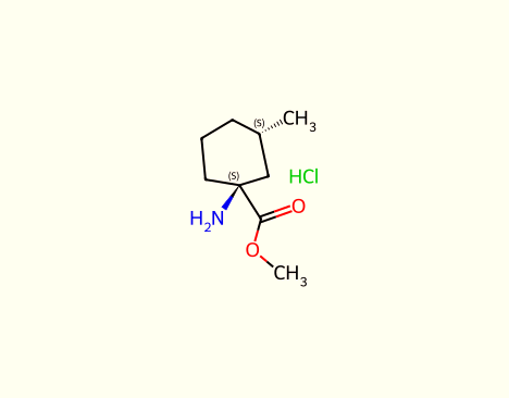 COC(=O)[C@]1(N)CCC[C@H](C)C1.Cl